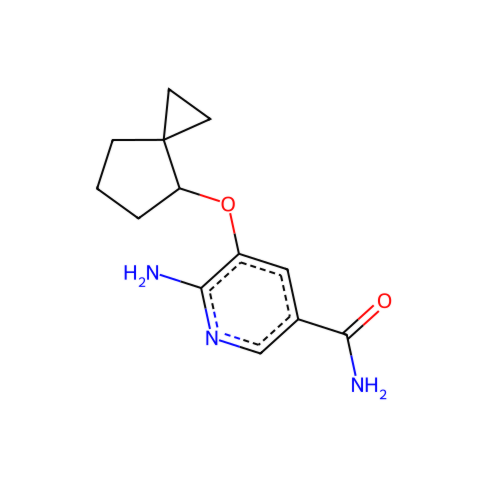 NC(=O)c1cnc(N)c(OC2CCCC23CC3)c1